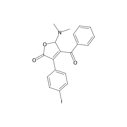 CN(C)C1OC(=O)C(c2ccc(I)cc2)=C1C(=O)c1ccccc1